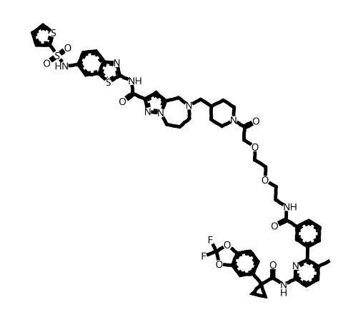 Cc1ccc(NC(=O)C2(c3ccc4c(c3)OC(F)(F)O4)CC2)nc1-c1cccc(C(=O)NCCOCCOCC(=O)N2CCC(CN3CCCn4nc(C(=O)Nc5nc6ccc(NS(=O)(=O)c7cccs7)cc6s5)cc4C3)CC2)c1